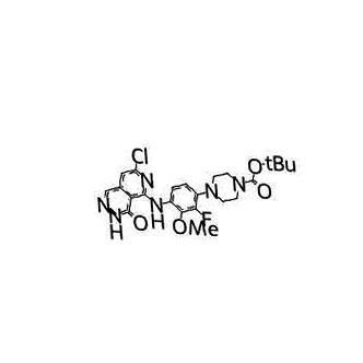 COc1c(Nc2nc(Cl)cc3cn[nH]c(=O)c23)ccc(N2CCN(C(=O)OC(C)(C)C)CC2)c1F